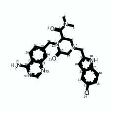 CN(C)C(=O)C1CN(Cc2cc3cc(Cl)ccc3[nH]2)CC(=O)N1Cc1ccc2c(N)ncnc2c1